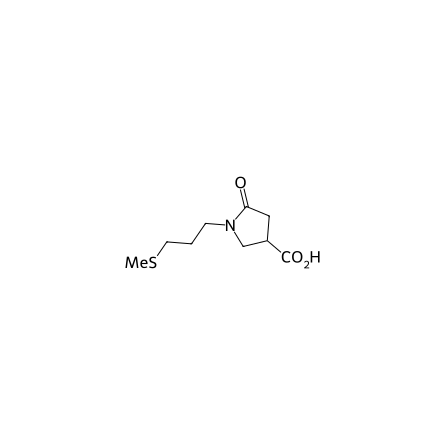 CSCCCN1CC(C(=O)O)CC1=O